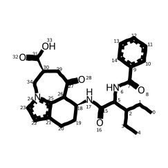 CCC(CC)C(NC(=O)c1ccccc1)C(=O)N[C@H]1CCc2ccn3c2C1C(=O)C[C@H](C(=O)O)C3